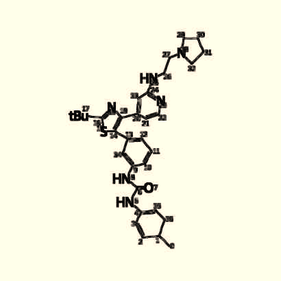 CC1C=CC(NC(=O)Nc2cccc(-c3sc(C(C)(C)C)nc3-c3ccnc(NCCN4CCCC4)c3)c2)=CC1